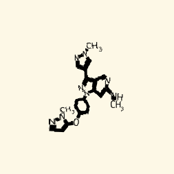 CNc1cc2c(cn1)c(-c1cnn(C)c1)nn2C1CCC(Oc2ccnn2C)CC1